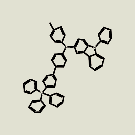 Cc1ccc(N(c2ccc(-c3ccc([Si](c4ccccc4)(c4ccccc4)c4ccccc4)cc3)cc2)c2ccc3c(c2)c2ccccc2n3-c2ccccc2)cc1